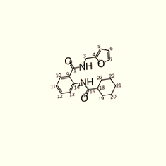 O=C(NCc1ccco1)c1ccccc1NC(=O)C1CCCCC1